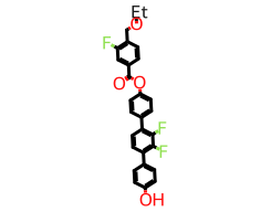 CCOCc1ccc(C(=O)Oc2ccc(-c3ccc(-c4ccc(O)cc4)c(F)c3F)cc2)cc1F